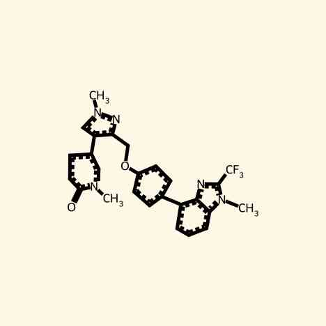 Cn1cc(-c2ccc(=O)n(C)c2)c(COc2ccc(-c3cccc4c3nc(C(F)(F)F)n4C)cc2)n1